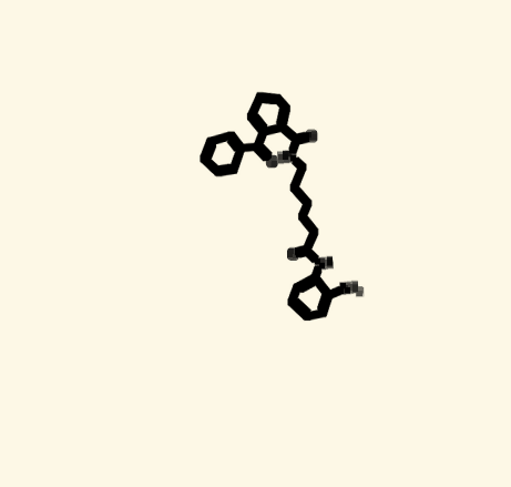 Nc1ccccc1NC(=O)CCCCCNC(=O)c1ccccc1C(=O)c1ccccc1